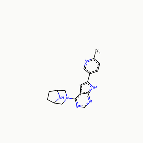 FC(F)(F)c1ccc(-c2cc3c(N4CC5CCC(C4)N5)ncnc3[nH]2)cn1